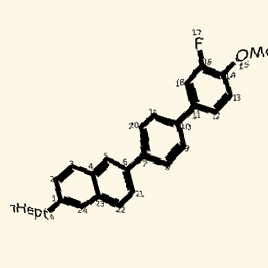 CCCCCCCc1ccc2cc(-c3ccc(-c4ccc(OC)c(F)c4)cc3)ccc2c1